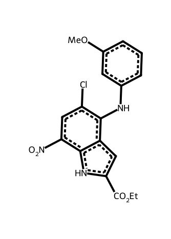 CCOC(=O)c1cc2c(Nc3cccc(OC)c3)c(Cl)cc([N+](=O)[O-])c2[nH]1